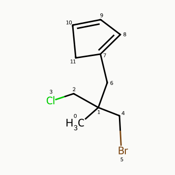 CC(CCl)(CBr)CC1=CC=CC1